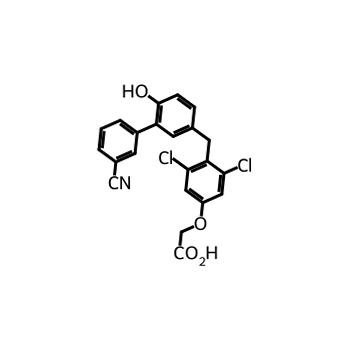 N#Cc1cccc(-c2cc(Cc3c(Cl)cc(OCC(=O)O)cc3Cl)ccc2O)c1